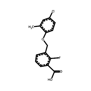 Cc1cc(Cl)ccc1OCc1cccc(C(=O)O)c1F